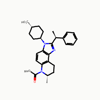 COC(=O)N1c2ccc3c(nc([C@@H](C)c4ccccc4)n3[C@H]3CC[C@H](C(=O)O)CC3)c2CC[C@@H]1C